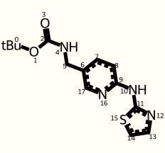 CC(C)(C)OC(=O)NCc1ccc(Nc2nccs2)nc1